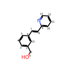 OCc1cccc(/C=C/c2ccccn2)c1